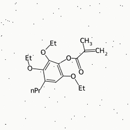 C=C(C)C(=O)Oc1c(OCC)cc(CCC)c(OCC)c1OCC